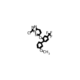 COc1cccc(-c2ccc(C(F)(F)F)cc2Oc2ccc3nnc(Cl)n3n2)c1